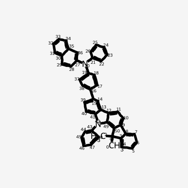 CC1(C)c2ccccc2-c2ccc3c4cc(-c5ccc(N(c6ccccc6)c6ccc7ccccc7c6)cc5)ccc4n(-c4ccccc4)c3c21